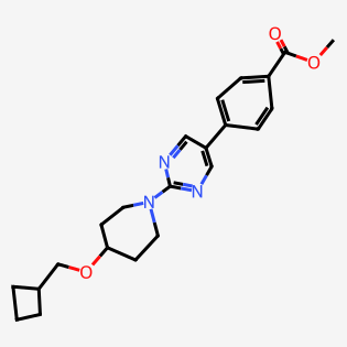 COC(=O)c1ccc(-c2cnc(N3CCC(OCC4CCC4)CC3)nc2)cc1